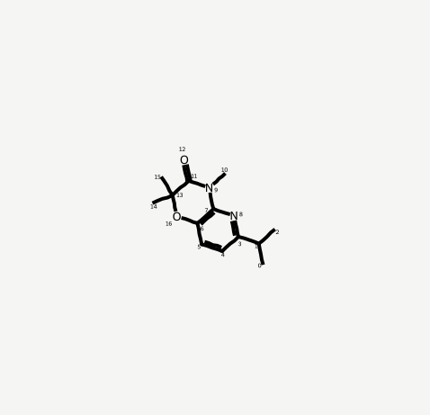 CC(C)c1ccc2c(n1)N(C)C(=O)C(C)(C)O2